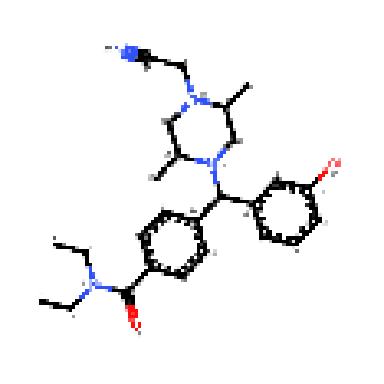 CCN(CC)C(=O)c1ccc(C(c2cccc(O)c2)N2CC(C)N(CC#N)CC2C)cc1